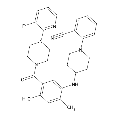 Cc1cc(C)c(C(=O)N2CCN(c3ncccc3F)CC2)cc1NC1CCN(c2ccccc2C#N)CC1